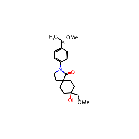 COCC1(O)CCC2(CCN(c3ccc([C@@H](OC)C(F)(F)F)cc3)C2=O)CC1